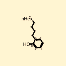 CCCCCCCCCCc1ccccc1O